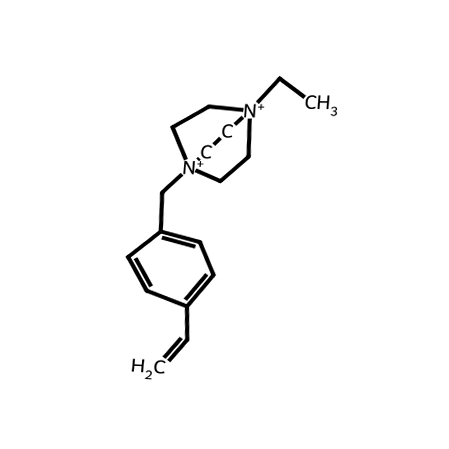 C=Cc1ccc(C[N+]23CC[N+](CC)(CC2)CC3)cc1